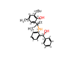 CCC(C)(Pc1ccccc1C(O)c1ccccc1)c1cc(C)cc(C(C)(C)C)c1O